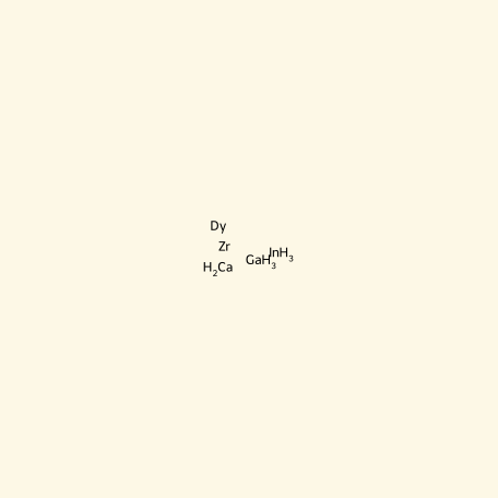 [CaH2].[Dy].[GaH3].[InH3].[Zr]